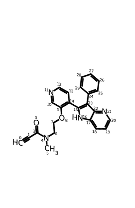 C#CC(=O)N(C)CCOc1cnccc1-c1[nH]c2cccnc2c1-c1ccccc1